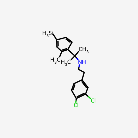 Cc1cc([SiH3])ccc1C(C)(C)NCCc1ccc(Cl)c(Cl)c1